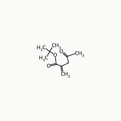 C=C(CC(C)=O)C(=O)OC(C)(C)C